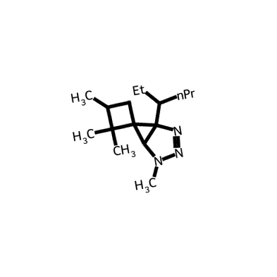 CCCC(CC)C12N=NN(C)C1C21CC(C)C1(C)C